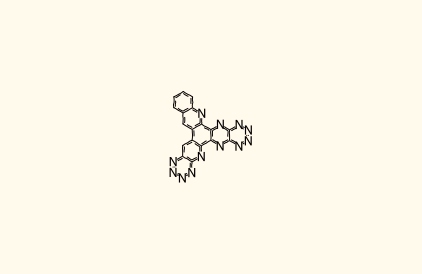 c1ccc2nc3c(cc2c1)c1cc2nnnnc2nc1c1nc2nnnnc2nc31